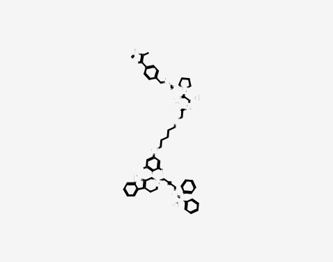 Cc1ncsc1-c1ccc(CNC(=O)[C@@H]2C[C@@H](O)CN2C(=O)[C@@H](NC(=O)COCCCCCOc2cc(F)c([C@@H]3c4[nH]c5ccccc5c4C[C@@H](C)N3CC(F)(F)CO[Si](c3ccccc3)(c3ccccc3)C(C)(C)C)c(F)c2)C(C)(C)C)cc1